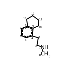 CNCCc1cccc2c1CCCC2